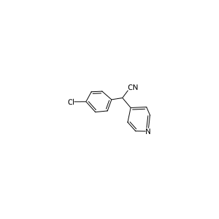 N#CC(c1ccncc1)c1ccc(Cl)cc1